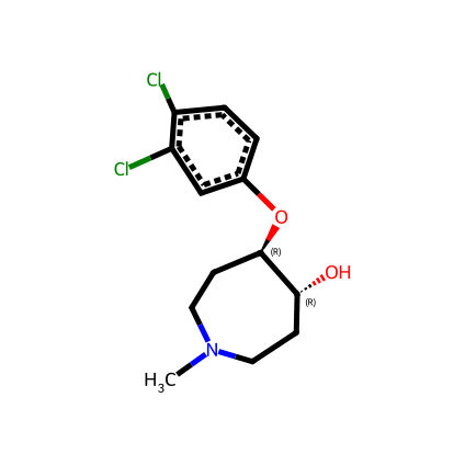 CN1CC[C@@H](O)[C@H](Oc2ccc(Cl)c(Cl)c2)CC1